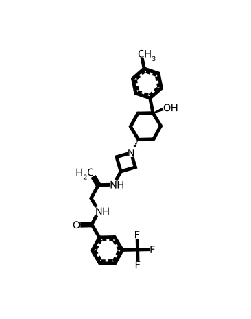 C=C(CNC(=O)c1cccc(C(F)(F)F)c1)NC1CN([C@H]2CC[C@@](O)(c3ccc(C)cc3)CC2)C1